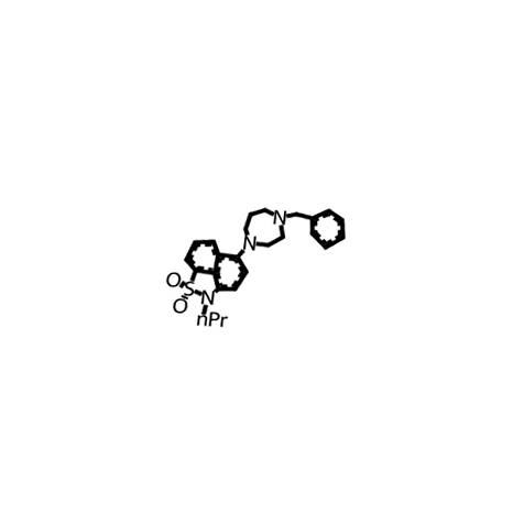 CCCN1c2ccc(N3CCCN(Cc4ccccc4)CC3)c3cccc(c23)S1(=O)=O